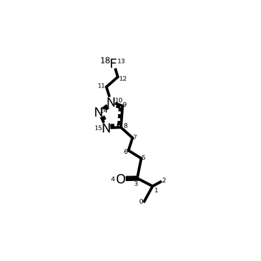 CC(C)C(=O)CCCc1cn(CC[18F])nn1